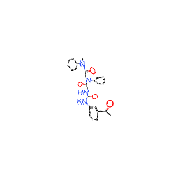 CC(=O)c1cccc(NC(=O)NCC(=O)N(CC(=O)N(C)c2ccccc2)c2ccccc2)c1